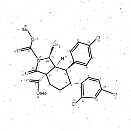 COC(=O)[C@@]12CC[C@@H](c3ccc(Cl)cc3Cl)[C@H](c3ccc(Cl)cc3)[C@@H]1[C@H](C)N(C(=O)OC(C)(C)C)C2=O